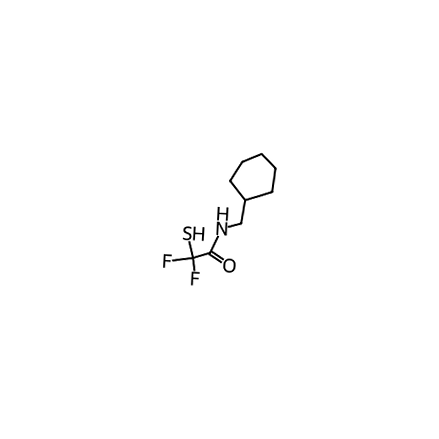 O=C(NCC1CCCCC1)C(F)(F)S